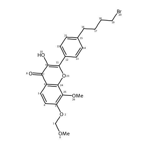 COCOc1ccc2c(=O)c(O)c(-c3ccc(CCCCBr)cc3)oc2c1OC